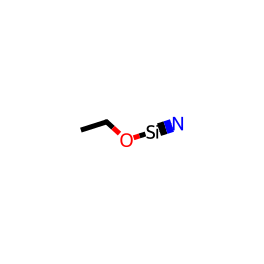 CCO[Si]#N